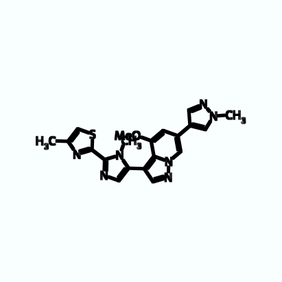 COc1cc(-c2cnn(C)c2)cn2ncc(-c3cnc(-c4nc(C)cs4)n3C)c12